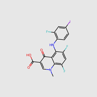 Cn1cc(C(=O)O)c(=O)c2c(Nc3ccc(I)cc3F)c(F)cc(F)c21